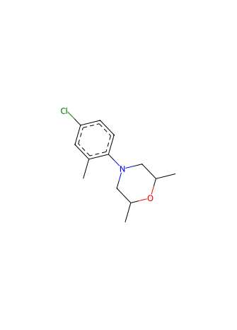 Cc1cc(Cl)ccc1N1CC(C)OC(C)C1